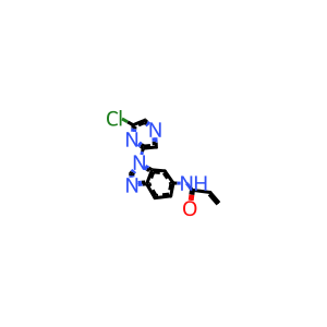 C=CC(=O)Nc1ccc2ncn(-c3cncc(Cl)n3)c2c1